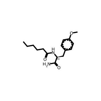 CCCCCC(=O)N[C@@H](Cc1ccc(OC)cc1)C(N)=O